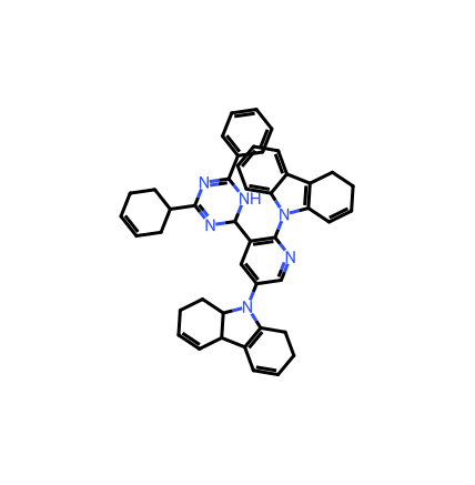 C1=CC2=C(CC1)N(c1cnc(-n3c4c(c5ccccc53)CCC=C4)c(C3N=C(C4CC=CCC4)N=C(c4ccccc4)N3)c1)C1CCC=CC21